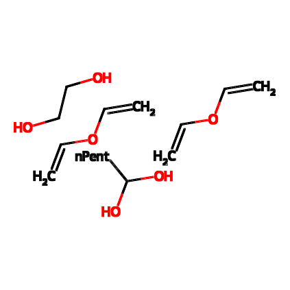 C=COC=C.C=COC=C.CCCCCC(O)O.OCCO